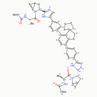 CCC(C)[C@H](NC(=O)OC)C(=O)N1C2=CC2C[C@H]1c1ncc(-c2ccc(-c3ccc(-c4ccc(-c5cnc([C@@H]6CC7CC7N6C(=O)[C@@H](NC(=O)OC)C(C)CC)[nH]5)cc4)c4c3C3(CCCC3)CC4)cc2)[nH]1